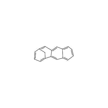 C1=CC2=Cc3cc4ccccc4cc3C(=C1)C2